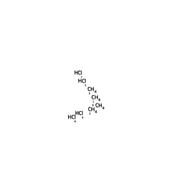 C.C.C.C.Cl.Cl.Cl.Cl